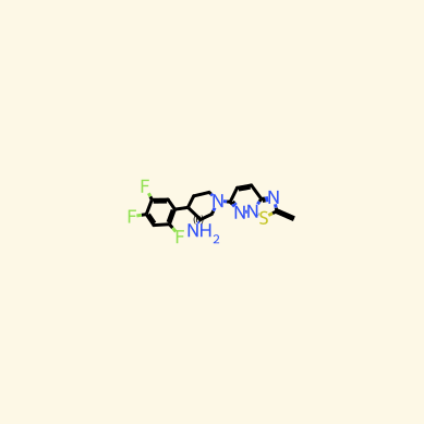 C=C1N=C2C=CC(N3CCC(c4cc(F)c(F)cc4F)[C@@H](N)C3)=NN2S1